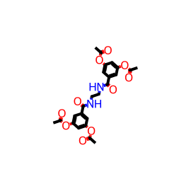 CC(=O)Oc1cc(OC(C)=O)cc(C(=O)NCCNC(=O)c2cc(OC(C)=O)cc(OC(C)=O)c2)c1